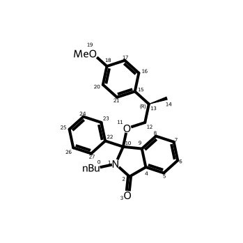 CCCCN1C(=O)c2ccccc2C1(OC[C@H](C)c1ccc(OC)cc1)c1ccccc1